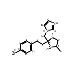 CC1CSC(CCc2ccc(Br)cc2)(Cn2ccnc2)S1